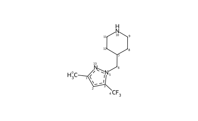 Cc1cc(C(F)(F)F)n(CC2CCNCC2)n1